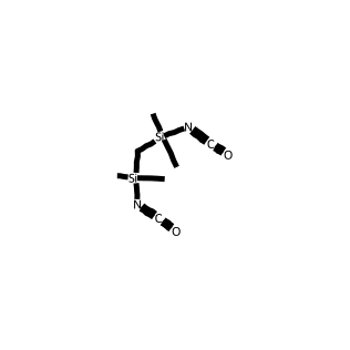 C[Si](C)(C[Si](C)(C)N=C=O)N=C=O